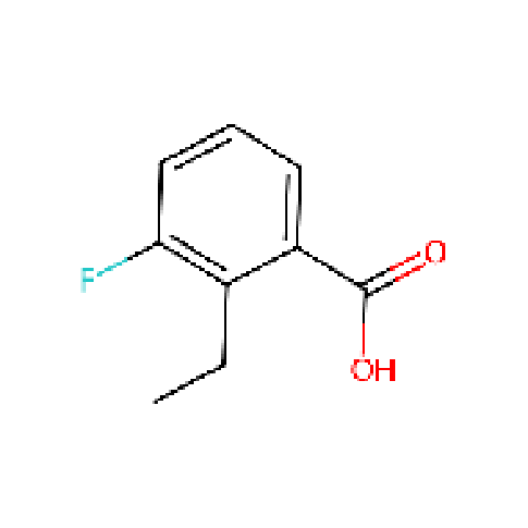 CCc1c(F)cccc1C(=O)O